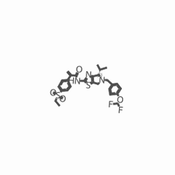 C=C(C(=O)Nc1nc2c(s1)CN(Cc1ccc(OC(F)F)cc1)[C@H]2C(C)C)c1ccc(S(=O)(=O)CC)cc1